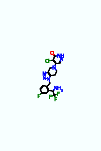 N[C@H](c1cc(F)ccc1Cn1nnc2c1CCN(c1cn[nH]c(=O)c1Cl)C2)C(F)(F)F